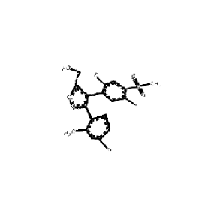 Cc1cc(Br)ccc1-c1noc(CO)c1-c1cc(F)c(S(C)(=O)=O)cc1F